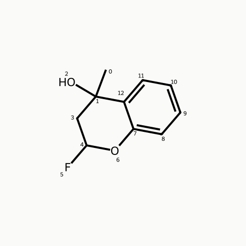 CC1(O)CC(F)Oc2ccccc21